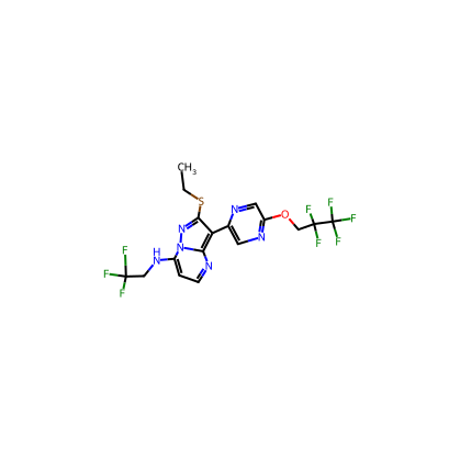 CCSc1nn2c(NCC(F)(F)F)ccnc2c1-c1cnc(OCC(F)(F)C(F)(F)F)cn1